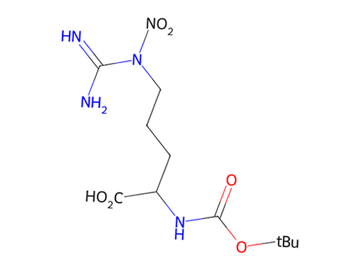 CC(C)(C)OC(=O)NC(CCCN(C(=N)N)[N+](=O)[O-])C(=O)O